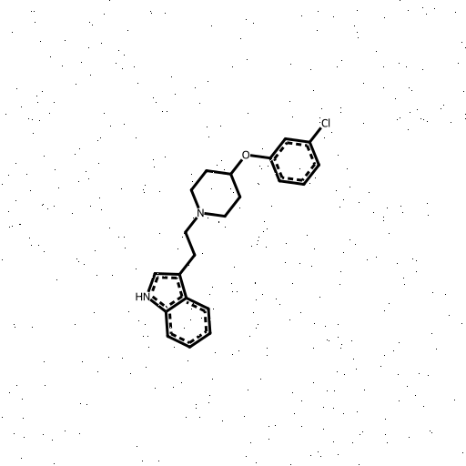 Clc1cccc(OC2CCN(CCc3c[nH]c4ccccc34)CC2)c1